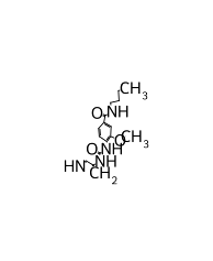 C=C(C=N)NC(=O)Nc1ccc(C(=O)NCCCC)cc1OC